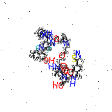 Cc1ncsc1-c1ccc([C@H](C)NC(=O)[C@@H]2C[C@@H](O)CN2C(=O)[C@@H](NC(=O)CCOCCCN2C[C@@H](C)[C@H]2COc2nc(N3CC4CCC(C3)N4)c3cnc(-c4cc(O)cc5cccc(F)c45)c(F)c3n2)C(C)(C)C)cc1